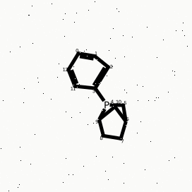 c1ccc(P2CC3CCC2C3)cc1